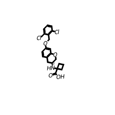 O=C(O)C1(N[C@@H]2COc3cc(OCc4c(Cl)cccc4Cl)ccc3C2)CCC1